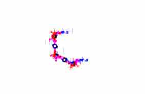 COc1cc(OC)c(C(=O)N[C@H]2CC[C@H](NC(=O)c3cc(C(=O)N[C@H]4CC[C@H](NC(=O)c5cc(C(=O)NCCN)c(OC)cc5OC)CC4)c(OC)cc3OC)CC2)cc1C(=O)NCCN